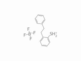 F[B-](F)(F)F.[SH2+]c1ccccc1CCc1ccccc1